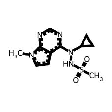 Cn1ccc2c(N(NS(C)(=O)=O)C3CC3)ncnc21